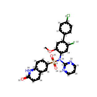 COc1cc(-c2ccc(Cl)cc2)c(F)cc1N(c1ncccn1)S(=O)(=O)c1ccc2[nH]c(=O)ccc2c1